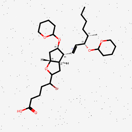 CCCC[C@H](C)[C@@H](/C=C/[C@@H]1[C@H]2CC(C(Br)CCCC(=O)O)O[C@@H]2C[C@H]1OC1CCCCO1)OC1CCCCO1